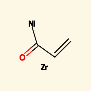 C=C[C](=O)[Ni].[Zr]